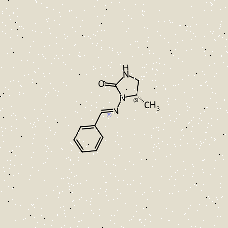 C[C@H]1CNC(=O)N1/N=C/c1ccccc1